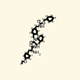 CCOc1ccc(C[C@@H](N)C(=O)N[C@@H](Cc2cccnc2)C(=O)NCc2ccc(CNC(=O)OCc3ccccc3)cc2)cc1